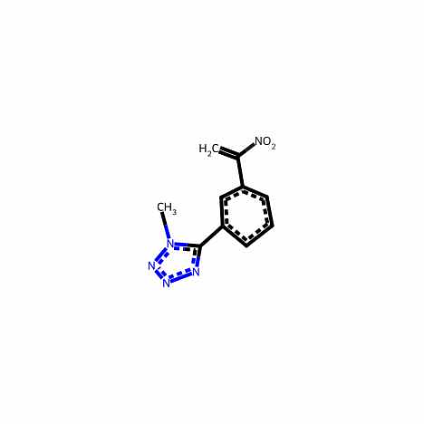 C=C(c1cccc(-c2nnnn2C)c1)[N+](=O)[O-]